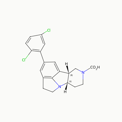 O=C(O)N1CC[C@H]2[C@@H](C1)c1cc(-c3cc(Cl)ccc3Cl)cc3c1N2CC3